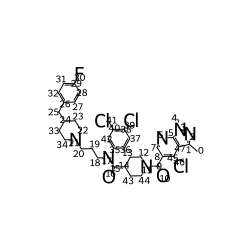 Cc1nn(C)c2ncc(C(=O)N3CCC(C(=O)N(CCCN4CCC(Cc5ccc(F)cc5)CC4)c4ccc(Cl)c(Cl)c4)CC3)c(Cl)c12